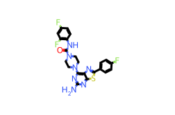 Nc1nc(N2CCN(C(=O)Nc3ccc(F)cc3F)CC2)c2nc(-c3ccc(F)cc3)sc2n1